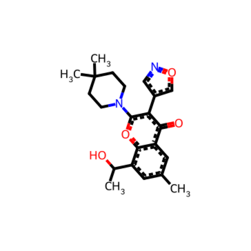 Cc1cc(C(C)O)c2oc(N3CCC(C)(C)CC3)c(-c3cnoc3)c(=O)c2c1